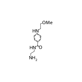 COCCNc1ccc(C(=O)NCCN)cc1